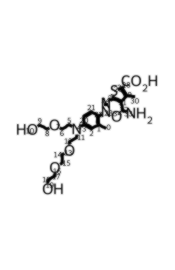 Cc1cc(N(CCOCCO)CCOCCOCCO)ccc1/N=N/c1sc(C(=O)O)c(C)c1C(N)=O